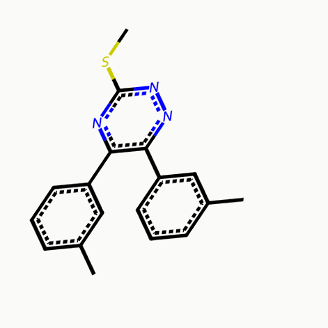 CSc1nnc(-c2cccc(C)c2)c(-c2cccc(C)c2)n1